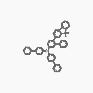 CC1(C)c2ccccc2-c2ccc(-c3ccc(N(c4ccc(-c5ccccc5)cc4)c4ccc(-c5ccccc5)cc4)cc3-c3ccccc3)cc21